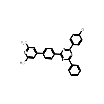 Cc1cc(-c2ccc(-c3nc(-c4ccccc4)nc(-c4ccc(Cl)cc4)n3)cc2)cc(C)n1